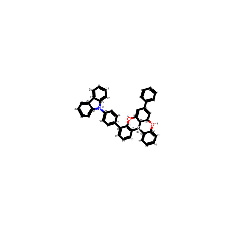 C1=C(c2ccccc2)C=C2Oc3c(cccc3-c3ccc(-n4c5ccccc5c5ccccc54)cc3)B3c4ccccc4OC1C32